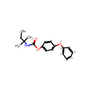 CC(C)(C)CC(C)(C)NC(=O)Oc1ccc(Oc2ccccc2)cc1